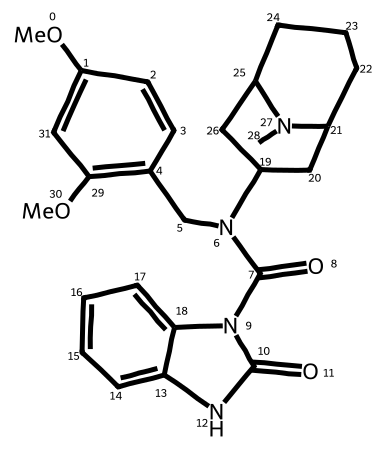 COc1ccc(CN(C(=O)n2c(=O)[nH]c3ccccc32)C2CC3CCCC(C2)N3C)c(OC)c1